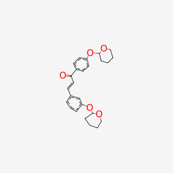 O=C(C=Cc1cccc(OC2CCCCO2)c1)c1ccc(OC2CCCCO2)cc1